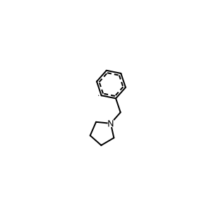 [c]1ccccc1CN1CCCC1